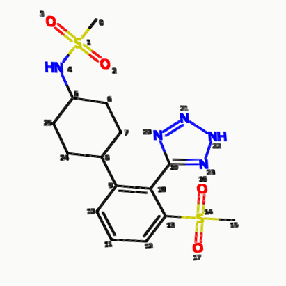 CS(=O)(=O)NC1CCC(c2cccc(S(C)(=O)=O)c2-c2nn[nH]n2)CC1